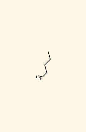 CCCC[18F]